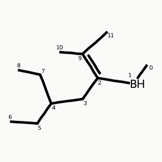 CBC(CC(CC)CC)=C(C)C